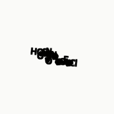 O=C(O)c1cc2c(nc(CN3CCC(c4cccc(OCc5ccc(Cl)cc5F)c4)CC3)n2CC2CCO2)s1